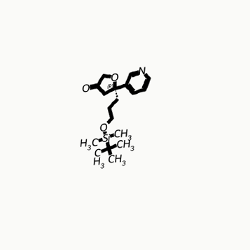 CC(C)(C)[Si](C)(C)OCCC[C@]1(c2cccnc2)CC(=O)CO1